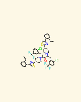 C=Cc1ccccc1-c1csc(C2CCN(C(Cc3cc(C(F)(F)F)ccc3Cl)C(=O)C(Cc3cc(C(F)(F)F)ccc3Cl)N3CCC(c4nc(-c5ccccc5C=C)cs4)CC3)CC2)n1